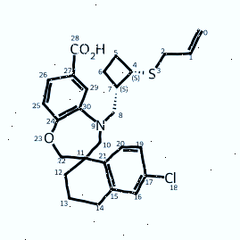 C=CCS[C@H]1CC[C@H]1CN1CC2(CCCc3cc(Cl)ccc32)COc2ccc(C(=O)O)cc21